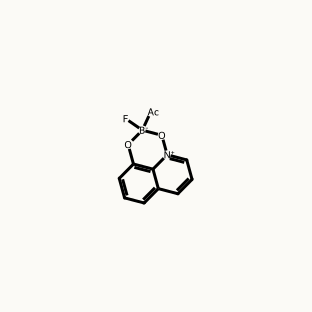 CC(=O)[B-]1(F)Oc2cccc3ccc[n+](c23)O1